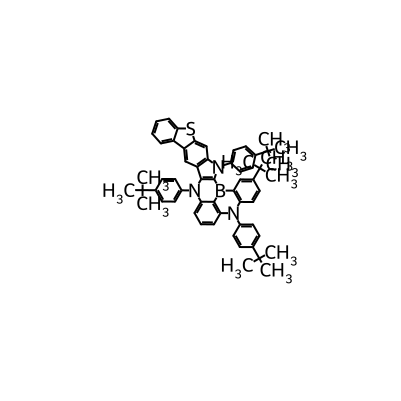 CC(C)(C)c1ccc(N2c3ccc(C(C)(C)C)cc3B3c4c2cccc4N(c2ccc(C(C)(C)C)cc2)c2c3n(-c3ccc(C(C)(C)C)cc3)c3cc4sc5ccccc5c4cc23)cc1